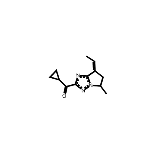 C/C=C1/CC(C)n2nc(C(=O)C3CC3)nc21